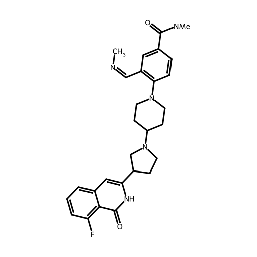 C/N=C\c1cc(C(=O)NC)ccc1N1CCC(N2CCC(c3cc4cccc(F)c4c(=O)[nH]3)C2)CC1